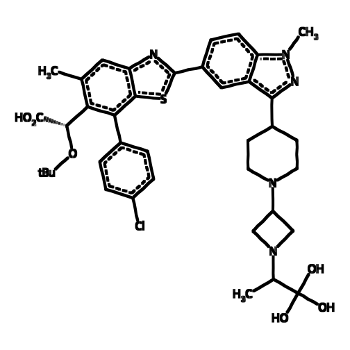 Cc1cc2nc(-c3ccc4c(c3)c(C3CCN(C5CN(C(C)C(O)(O)O)C5)CC3)nn4C)sc2c(-c2ccc(Cl)cc2)c1[C@H](OC(C)(C)C)C(=O)O